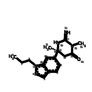 CCCn1ncc2ccc([C@]3(C)CC(=O)N(C)C(=N)N3)cc21